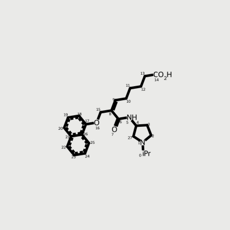 CC(C)N1CCC(NC(=O)C(=CCCCCC(=O)O)COc2cccc3ccccc23)C1